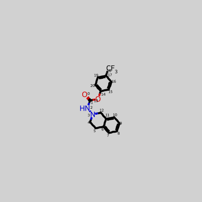 O=C(NN1CCc2ccccc2C1)Oc1ccc(C(F)(F)F)cc1